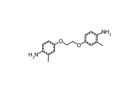 Cc1cc(OCCOc2ccc(N)c(C)c2)ccc1N